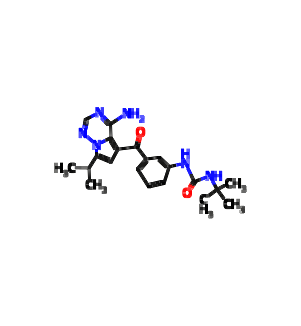 CC(C)c1cc(C(=O)c2cccc(NC(=O)NC(C)(C)C)c2)c2c(N)ncnn12